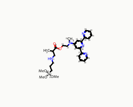 CO[Si](CCCNCC(C)C(=O)OCCN(C)c1cc(-c2ccccn2)nc(-c2ccccn2)c1)(OC)OC